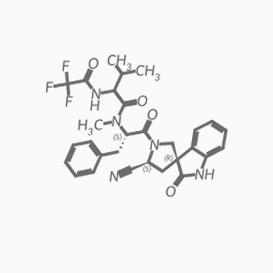 CC(C)C(NC(=O)C(F)(F)F)C(=O)N(C)[C@@H](Cc1ccccc1)C(=O)N1C[C@]2(C[C@H]1C#N)C(=O)Nc1ccccc12